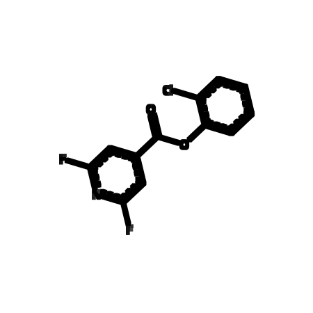 O=C(Oc1ccccc1Cl)c1cc(F)nc(F)c1